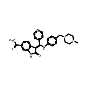 COC(=O)c1ccc2c(c1)NC(=O)/C2=C(\Nc1ccc(CN2CCN(C)CC2)cc1)c1ccncc1